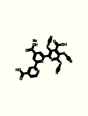 N#CSc1nc(-c2cc(C(=O)O)cc(-c3cc(C(=O)O)ccn3)n2)c(SC#N)c(C(=O)O)c1SC#N.[Ru]